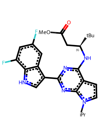 COC(=O)C[C@H](Nc1nc(-c2c[nH]c3c(F)cc(F)cc23)nc2c1ccn2C(C)C)C(C)(C)C